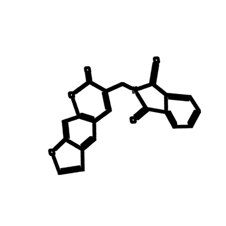 O=C1c2ccccc2C(=O)N1Cc1cc2cc3ccoc3cc2oc1=O